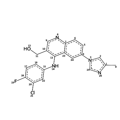 Cc1cn(-c2ccc3ncc(CO)c(Nc4ccc(F)c(Cl)c4)c3c2)cn1